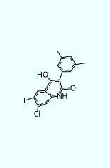 Cc1cc(C)cc(-c2c(O)c3cc(I)c(Cl)cc3[nH]c2=O)c1